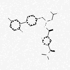 CN(C)C(=O)c1cc(C(=O)NN(Cc2ccc(-c3cc(Cl)ccc3F)cc2)CC(O)C(=O)O)[nH]n1